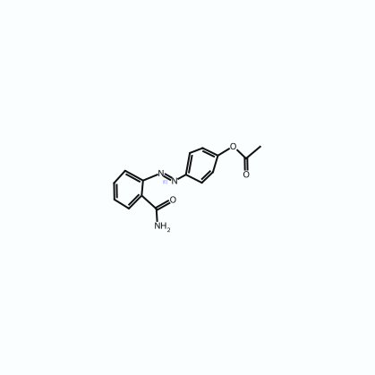 CC(=O)Oc1ccc(/N=N/c2ccccc2C(N)=O)cc1